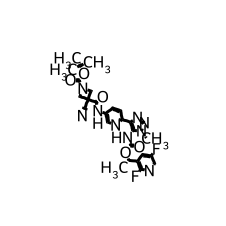 CC(OC(=O)Nc1c(-c2ccc(NC(=O)C3(C#N)CN(C(=O)OC(C)(C)C)C3)cn2)nnn1C)c1cc(F)cnc1F